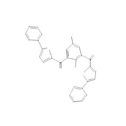 Cc1cc(C(=O)c2ccc(-c3ccccc3)s2)c(O)c(C(=O)c2ccc(-c3ccccc3)s2)c1